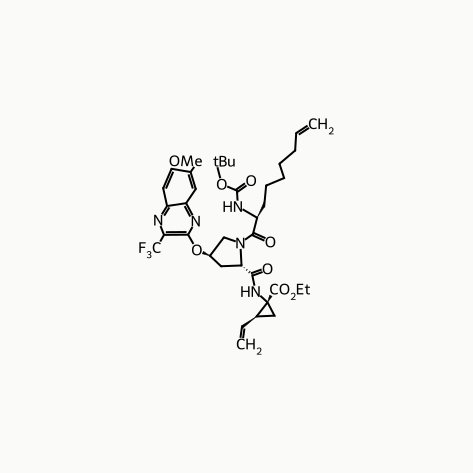 C=CCCCCC[C@H](NC(=O)OC(C)(C)C)C(=O)N1C[C@H](Oc2nc3cc(OC)ccc3nc2C(F)(F)F)C[C@H]1C(=O)N[C@]1(C(=O)OCC)C[C@H]1C=C